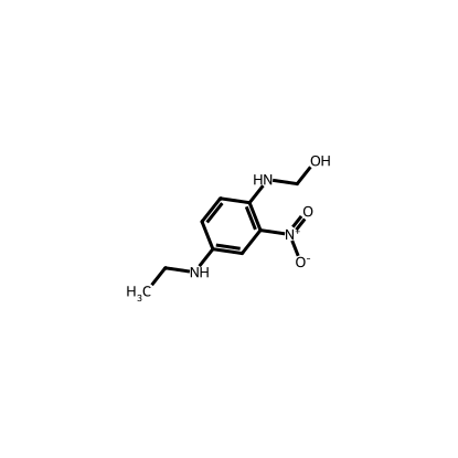 CCNc1ccc(NCO)c([N+](=O)[O-])c1